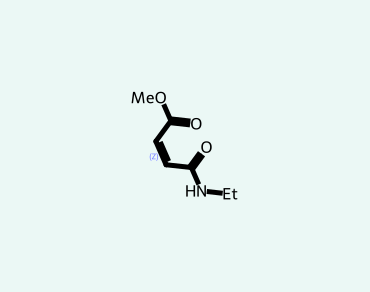 CCNC(=O)/C=C\C(=O)OC